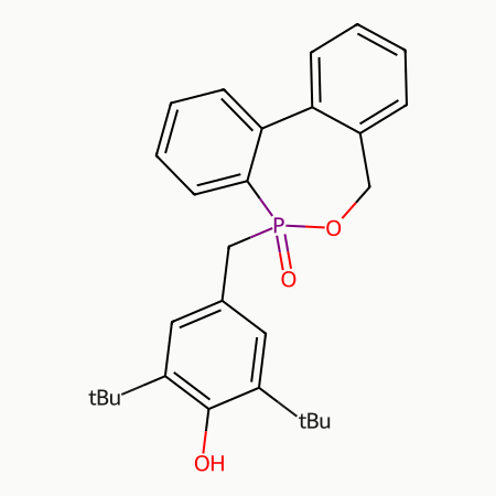 CC(C)(C)c1cc(CP2(=O)OCc3ccccc3-c3ccccc32)cc(C(C)(C)C)c1O